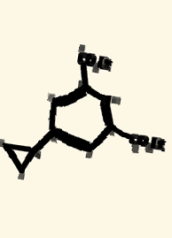 CCOC(=O)c1cc(C2CC2)cc(C(=O)OCC)n1